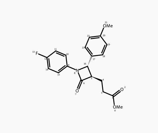 COC(=O)CC[C@H]1C(=O)N(c2ccc(F)cc2)[C@@H]1c1ccc(OC)cc1